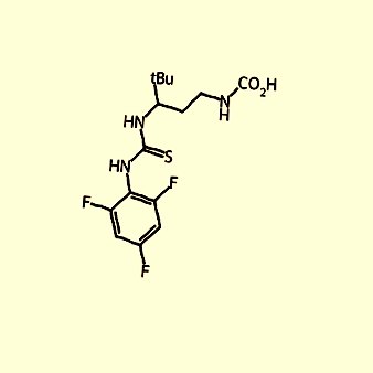 CC(C)(C)C(CCNC(=O)O)NC(=S)Nc1c(F)cc(F)cc1F